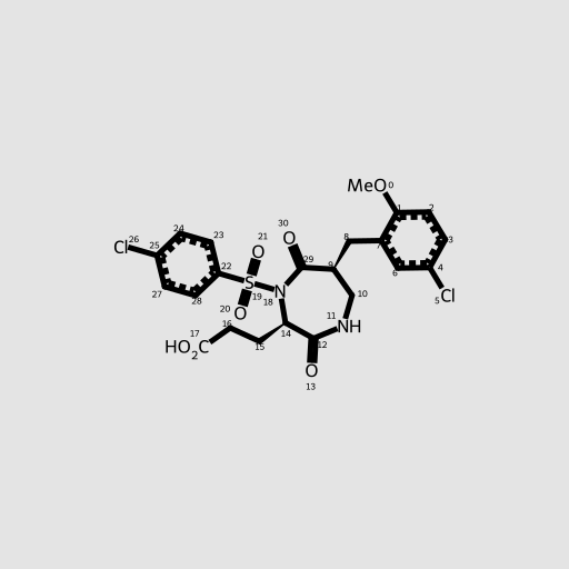 COc1ccc(Cl)cc1C[C@H]1CNC(=O)[C@@H](CCC(=O)O)N(S(=O)(=O)c2ccc(Cl)cc2)C1=O